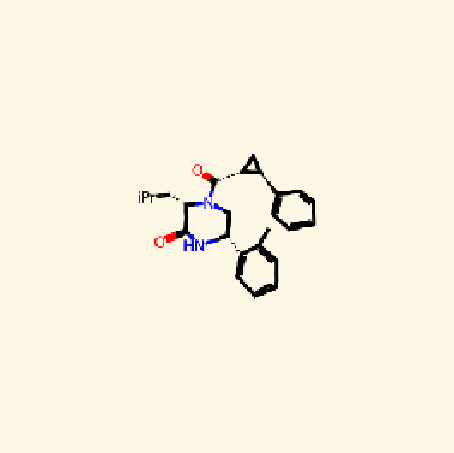 Cc1ccccc1[C@H]1CN(C(=O)[C@@H]2C[C@H]2c2ccccc2)[C@@H](CC(C)C)C(=O)N1